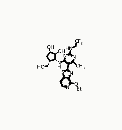 CCOc1nccc2sc(-c3c(C)nc(NCC(F)(F)F)nc3N[C@@H]3[C@H](CO)C[C@@H](O)[C@H]3O)nc12